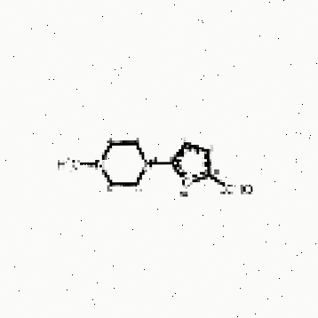 CN1CCN(c2ccc(C=O)o2)CC1